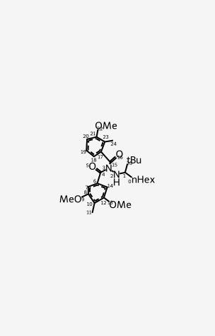 CCCCCCC(NN(C(=O)c1cc(OC)c(C)c(OC)c1)C(=O)c1cccc(OC)c1C)C(C)(C)C